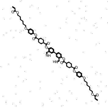 C=CC(=O)OCCCCCCOc1ccc(OC(=O)C2CCC(C(=O)Oc3ccc(-c4ccc(OC(=O)C5CCC(C(=O)Oc6ccc(OCCCCCCOC(=O)C=C)cc6)CC5)c(C=N)c4)cc3C=N)CC2)cc1